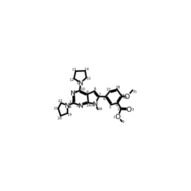 COC(=O)c1cc(-c2cc3c(N4CCCC4)nc(N4CCCC4)nc3n2C)ccc1OC